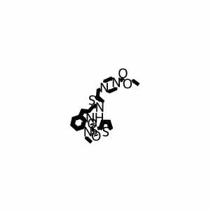 CCOC(=O)N1CCN(Cc2cnc(-c3cc4cccc(N(CC)S(=O)(=O)c5cccs5)c4[nH]3)s2)CC1